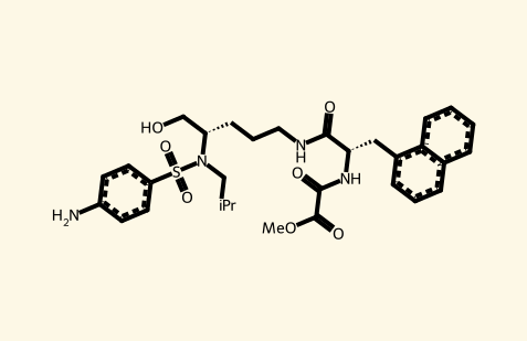 COC(=O)C(=O)N[C@@H](Cc1cccc2ccccc12)C(=O)NCCC[C@@H](CO)N(CC(C)C)S(=O)(=O)c1ccc(N)cc1